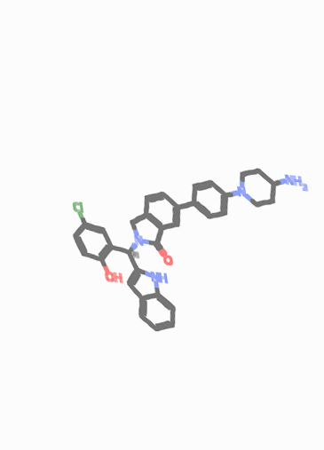 NC1CCN(c2ccc(-c3ccc4c(c3)C(=O)N([C@@H](c3cc5ccccc5[nH]3)c3cc(Cl)ccc3O)C4)cc2)CC1